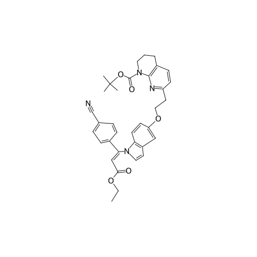 CCOC(=O)/C=C(/c1ccc(C#N)cc1)n1ccc2cc(OCCc3ccc4c(n3)N(C(=O)OC(C)(C)C)CCC4)ccc21